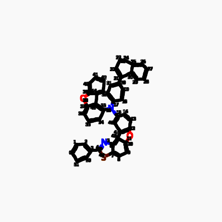 c1ccc(-c2nc3c(ccc4oc5ccc(N(c6ccc(-c7cccc8ccccc78)cc6)c6cccc7oc8ccccc8c67)cc5c43)s2)cc1